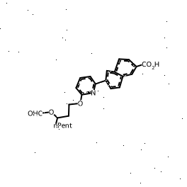 CCCCCC(CCOc1cccc(-c2ccc3cc(C(=O)O)ccc3c2)n1)OC=O